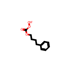 O=C(OO)OCCCCc1ccccc1